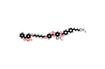 CCCCCC1CCC(C2CCC(C(=O)Oc3ccc(OC(=O)c4ccc(OCCCCCCCCOc5ccc(C(=O)c6ccccc6)c(O)c5)cc4)c(C)c3)CC2)CC1